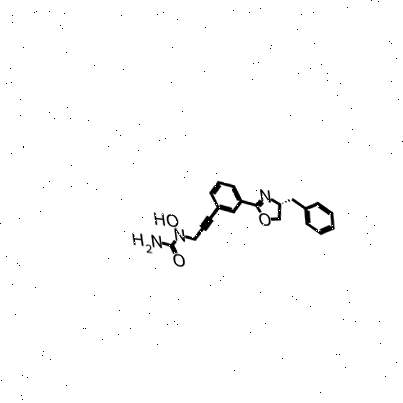 NC(=O)N(O)CC#Cc1cccc(C2=N[C@H](Cc3ccccc3)CO2)c1